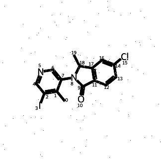 Cc1c(I)cncc1N1C(=O)c2ccc(Cl)cc2C1C